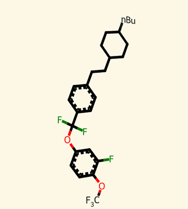 CCCCC1CCC(CCc2ccc(C(F)(F)Oc3ccc(OC(F)(F)F)c(F)c3)cc2)CC1